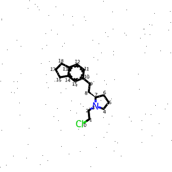 ClCCN1CCC[C@@H]1CCc1ccc2c(c1)CCC2